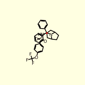 O=S(=O)(NC1(c2ccccc2)CC2CCC(C1)N2Cc1ccccc1)c1ccc(OC(F)(F)F)cc1